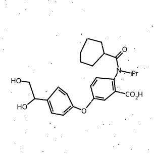 CC(C)N(C(=O)C1CCCCC1)c1ccc(Oc2ccc(C(O)CO)cc2)cc1C(=O)O